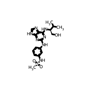 CC(C)[C@@H](CO)Nc1nc(Nc2cccc(NS(C)(=O)=O)c2)nc2[nH]cnc12